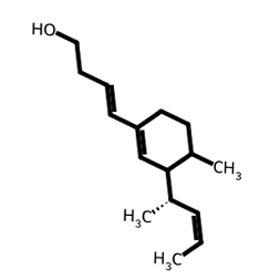 C/C=C\[C@H](C)C1C=C(/C=C/CCO)CCC1C